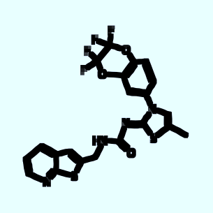 Cc1cn(-c2ccc3c(c2)OC(F)(F)C(F)(F)O3)c(=NC(=O)NCc2cc3cccnc3s2)s1